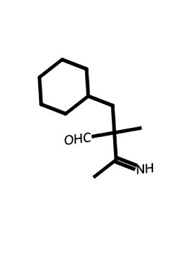 CC(=N)C(C)(C=O)CC1CCCCC1